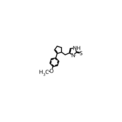 COc1ccc(C2=CCCC2CC2=CNC(=S)[N]2)cc1